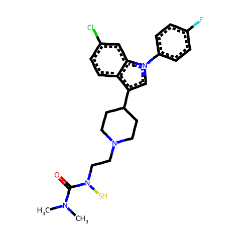 CN(C)C(=O)N(S)CCN1CCC(c2cn(-c3ccc(F)cc3)c3cc(Cl)ccc23)CC1